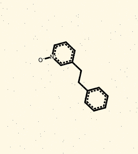 [O-][n+]1cccc(CCc2ccccc2)c1